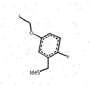 CSCc1cc(OCI)ccc1F